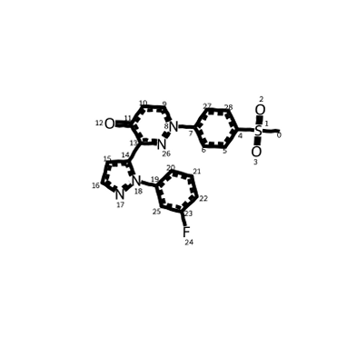 CS(=O)(=O)c1ccc(-n2ccc(=O)c(-c3ccnn3-c3cccc(F)c3)n2)cc1